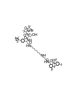 Cc1ncsc1-c1ccc([C@H](CC(=O)NCCCCCCCCNCCCONC(=O)c2ccc(F)c(F)c2Nc2ccc(I)cc2F)NC(=O)[C@@H]2C[C@@H](O)CN2C(=O)[C@@H](NC(=O)C2(C#N)CC2)C(C)(C)C)cc1